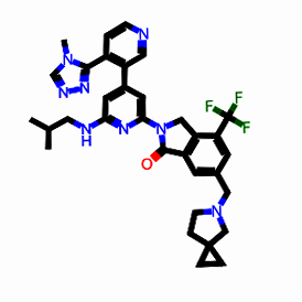 CC(C)CNc1cc(-c2cnccc2-c2nncn2C)cc(N2Cc3c(cc(CN4CCC5(CC5)C4)cc3C(F)(F)F)C2=O)n1